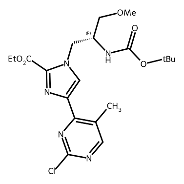 CCOC(=O)c1nc(-c2nc(Cl)ncc2C)cn1C[C@H](COC)NC(=O)OC(C)(C)C